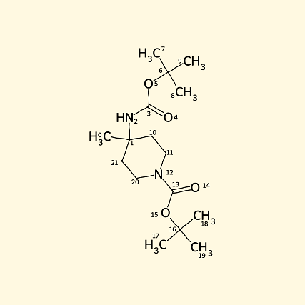 CC1(NC(=O)OC(C)(C)C)CCN(C(=O)OC(C)(C)C)CC1